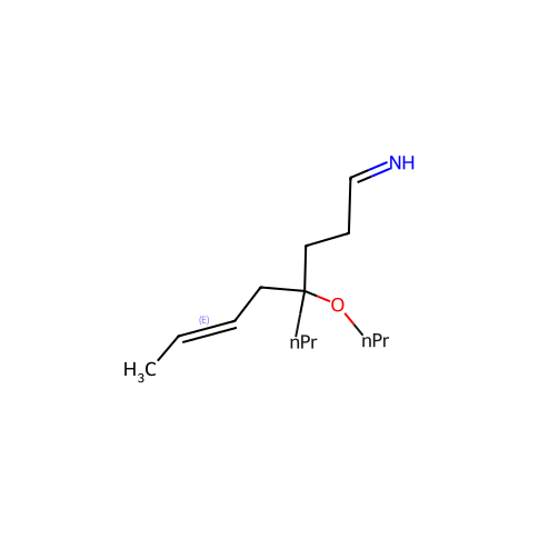 C/C=C/CC(CCC)(CCC=N)OCCC